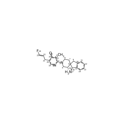 Cn1c(N2CCC3(CC2)Cc2ccccc2[C@H]3N)ncc(CC=CF)c1=O